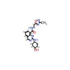 Cc1noc(CCNC(=O)c2cccc3cnc(N[C@H]4CC[C@H](O)CC4)nc23)n1